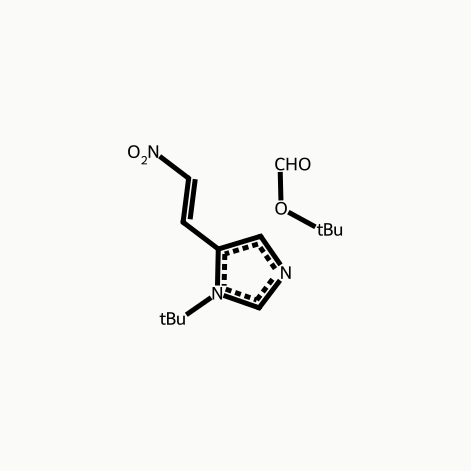 CC(C)(C)OC=O.CC(C)(C)n1cncc1C=C[N+](=O)[O-]